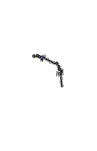 COCCOCCOCCNC(=O)/C(C#N)=C(/c1ccc2cc(N3CCCC(COCCOCCOCCNC(=O)/C(C#N)=C(\C)c4ccc5cc(N6CCCCC6)ccc5c4)C3)ccc2c1)C(F)(F)F